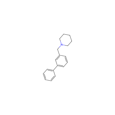 c1ccc(-c2cccc(CN3CCCCC3)c2)cc1